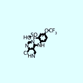 N=Cc1c(Cl)ncnc1Nc1ccc(OC(F)(F)F)cc1F.O=S(=O)(O)O